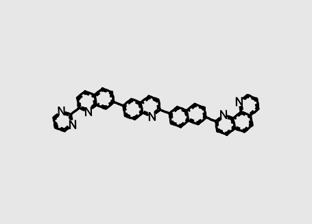 c1cnc(-c2ccc3ccc(-c4ccc5nc(-c6ccc7cc(-c8ccc9ccc%10cccnc%10c9n8)ccc7c6)ccc5c4)cc3n2)nc1